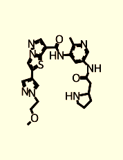 COCCn1cc(-c2cn3ncc(C(=O)Nc4cc(NC(=O)CC5CCCN5)cnc4C)c3s2)cn1